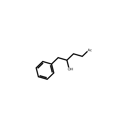 CC(=O)CCC(O)Cc1ccccc1